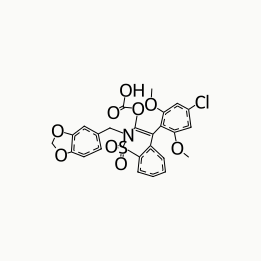 COc1cc(Cl)cc(OC)c1C1=C(OC(=O)O)N(Cc2ccc3c(c2)OCO3)S(=O)(=O)c2ccccc21